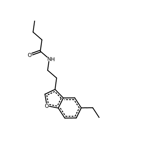 CCCC(=O)NCCc1coc2ccc(CC)cc12